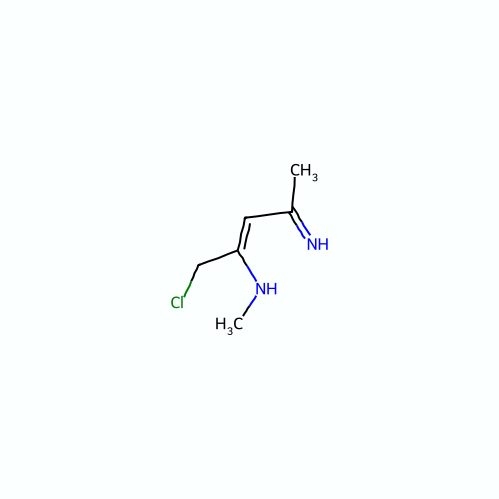 CN/C(=C\C(C)=N)CCl